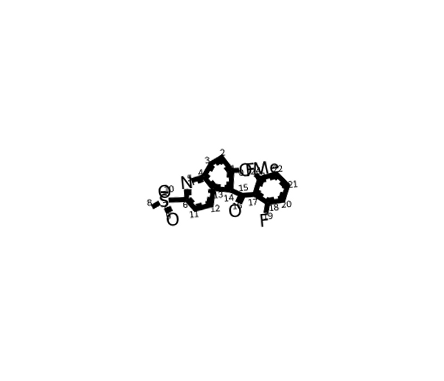 COc1ccc2nc(S(C)(=O)=O)ccc2c1C(=O)c1c(F)cccc1F